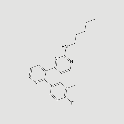 CCCCCNc1nccc(-c2cccnc2-c2ccc(F)c(C)c2)n1